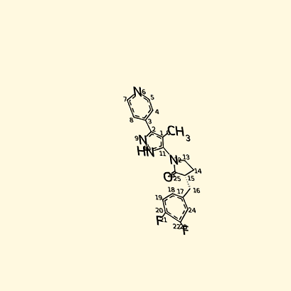 Cc1c(-c2ccncc2)n[nH]c1N1CC[C@H](Cc2ccc(F)c(F)c2)C1=O